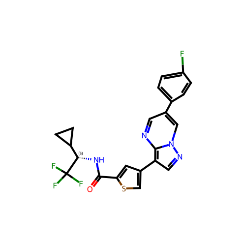 O=C(N[C@@H](C1CC1)C(F)(F)F)c1cc(-c2cnn3cc(-c4ccc(F)cc4)cnc23)cs1